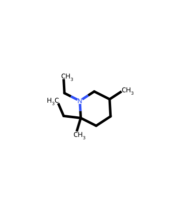 CCN1CC(C)CCC1(C)CC